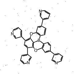 c1cncc(-c2ccc3c(c2)Oc2c(-c4cccnc4)cc(-c4cccnc4)c4c2B3c2ccc(-c3cccnc3)cc2O4)c1